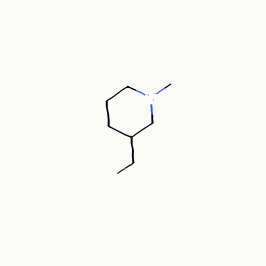 CCCCCC1CCCN(C)C1